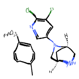 Cc1ccc(S(=O)(=O)O)cc1.Clc1cc(N2C[C@H]3C[C@@H]2CN3)cnc1Cl